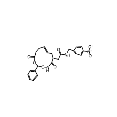 O=C(C[C@@H]1C/C=C/CCC(=O)OC(c2ccccc2)CNC1=O)NCc1ccc([N+](=O)[O-])cc1